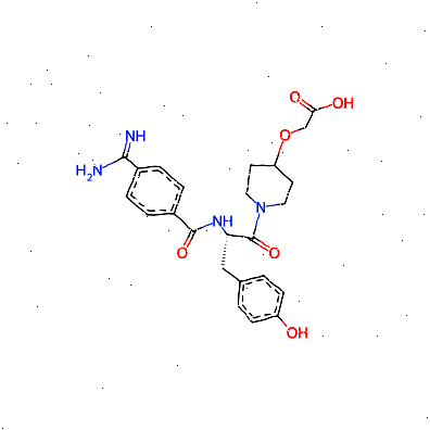 N=C(N)c1ccc(C(=O)N[C@@H](Cc2ccc(O)cc2)C(=O)N2CCC(OCC(=O)O)CC2)cc1